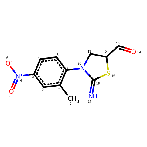 Cc1cc([N+](=O)[O-])ccc1N1CC(C=O)SC1=N